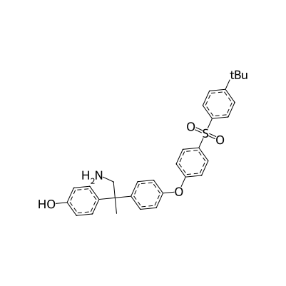 CC(C)(C)c1ccc(S(=O)(=O)c2ccc(Oc3ccc(C(C)(CN)c4ccc(O)cc4)cc3)cc2)cc1